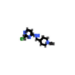 CC(=O)N1CCC(CNc2ccnc(Cl)n2)CC1